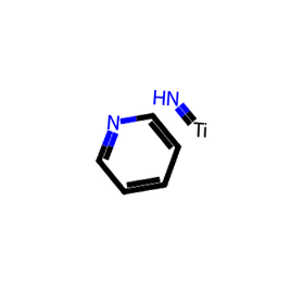 [NH]=[Ti].c1ccncc1